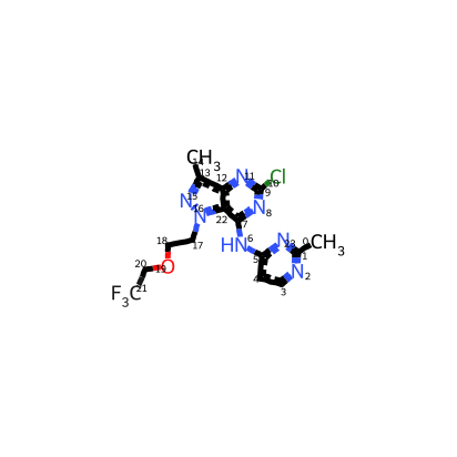 Cc1nccc(Nc2nc(Cl)nc3c(C)nn(CCOCC(F)(F)F)c23)n1